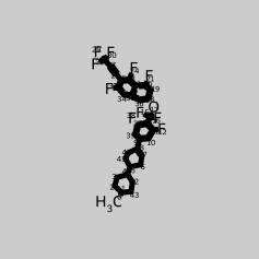 CC1CCC(C2CC=C(c3cc(F)c(C(F)(F)Oc4cc(F)c5c(F)c(C#CC(F)(F)F)c(F)cc5c4)c(F)c3)CC2)CC1